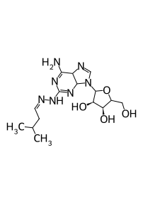 CC(C)C/C=N\NC1=NC2C(N=CN2C2OC(CO)[C@@H](O)[C@H]2O)C(N)=N1